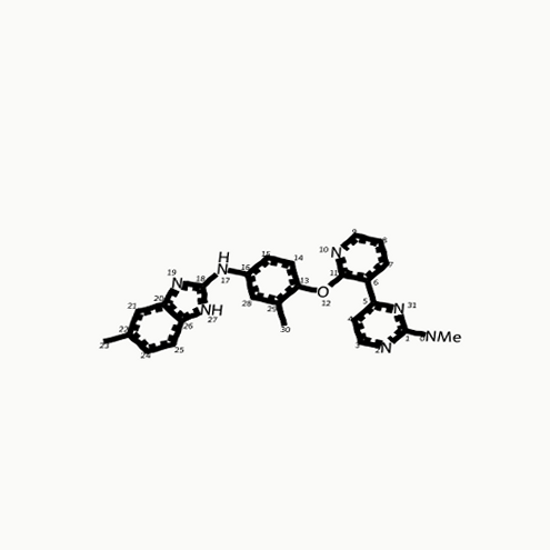 CNc1nccc(-c2cccnc2Oc2ccc(Nc3nc4cc(C)ccc4[nH]3)cc2C)n1